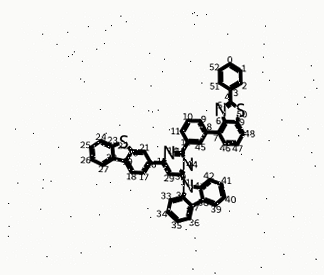 c1ccc(-c2nc3c(-c4cccc(-c5nc(-c6ccc7c(c6)sc6ccccc67)cc(-n6c7ccccc7c7ccccc76)n5)c4)cccc3s2)cc1